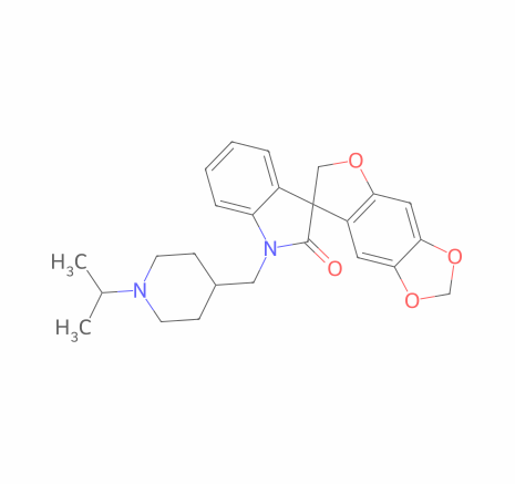 CC(C)N1CCC(CN2C(=O)C3(COc4cc5c(cc43)OCO5)c3ccccc32)CC1